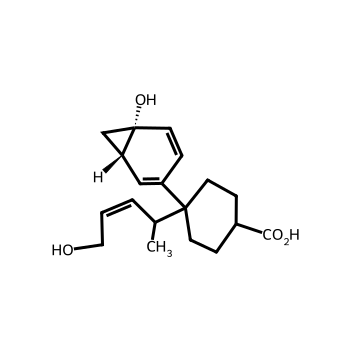 CC(/C=C\CO)C1(C2=C[C@@H]3C[C@@]3(O)C=C2)CCC(C(=O)O)CC1